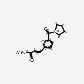 COC(=O)/C=C/c1ccc(C(=O)N2CCCC2)o1